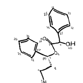 CN(C)CC[C@@H](OC(=O)C(O)c1ccccc1)c1ccccc1